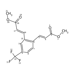 COC(=O)C=Cc1ccc(C(F)(F)F)cc1C=CC(=O)OC